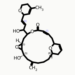 C=C1CCC[C@@H]2CC=CC(C/C=C\C(=O)OC(C(O)/C=C/C3C=C(C)CCO3)C[C@@H]3OC3[C@@H](O)C1)O2